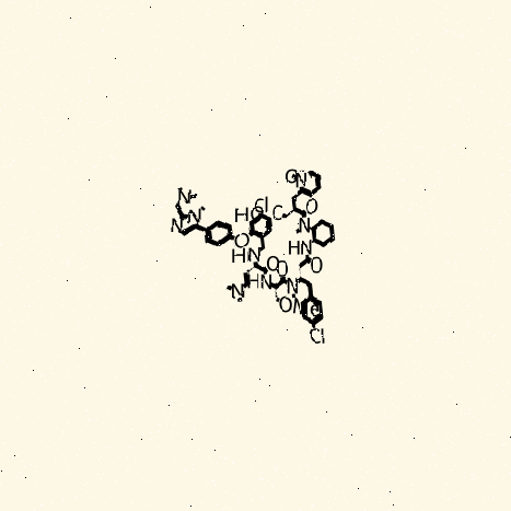 COC[C@H](NC(=O)[C@H](CCN(C)C)NCc1ccc(Cl)cc1Oc1ccc(-c2cnc(CN(C)C)n2C)cc1)C(=O)N(C)[C@H](CC(=O)N[C@H]1CCCC[C@@H]1N(C)C(=O)[C@@H](CC(=O)O)Cc1cccc[n+]1[O-])Cc1ccc(Cl)cc1